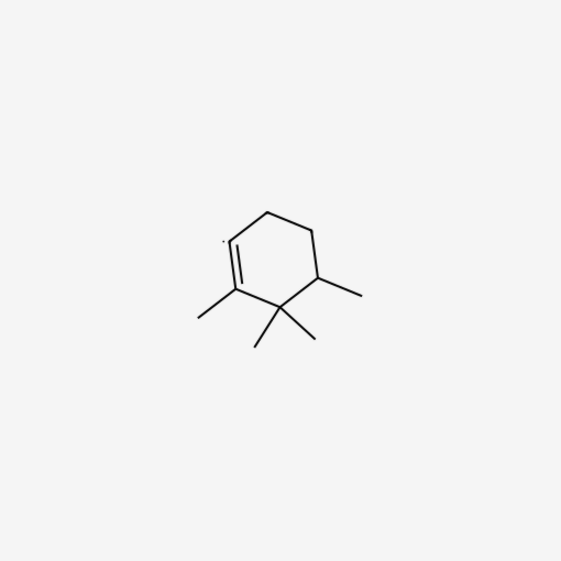 CC1=[C]CCC(C)C1(C)C